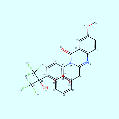 COc1ccc2nc(Cc3ccccc3)n(-c3ccc(C(O)(C(F)(F)F)C(F)(F)F)cc3Br)c(=O)c2c1